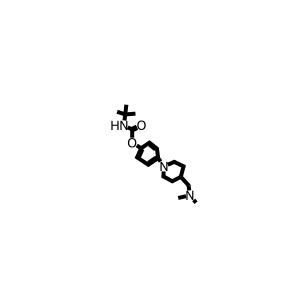 CN(C)CC1CCN(c2ccc(OC(=O)NC(C)(C)C)cc2)CC1